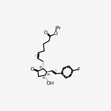 CC(C)OC(=O)CCC/C=C\C[C@H]1C(=O)C[C@@H](O)[C@@H]1/C=C/c1ccc(F)cc1